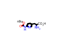 CCCCOC(=O)Nc1ccc(CC(N)C(=O)O)cn1